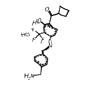 Cl.NCc1ccc(COc2ccc(C(=O)C3CCC3)c(O)c2C(F)(F)F)cc1